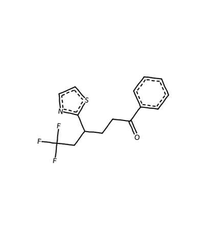 O=C(CCC(CC(F)(F)F)c1nccs1)c1ccccc1